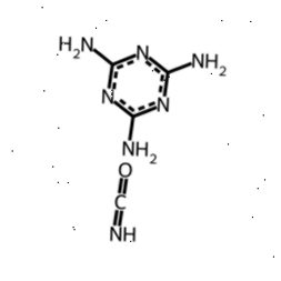 N=C=O.Nc1nc(N)nc(N)n1